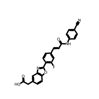 N#Cc1ccc(NC(=O)C=Cc2ccc(-c3nc4cc(CC(=O)O)ccc4o3)c(F)c2)cc1